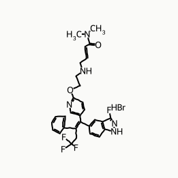 Br.CN(C)C(=O)/C=C/CNCCOc1ccc(/C(=C(/CC(F)(F)F)c2ccccc2)c2ccc3[nH]nc(F)c3c2)cn1